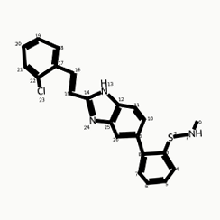 CNSc1ccccc1-c1ccc2[nH]c(/C=C/c3ccccc3Cl)nc2c1